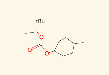 CC1CCC(OC(=O)OC(C)C(C)(C)C)CC1